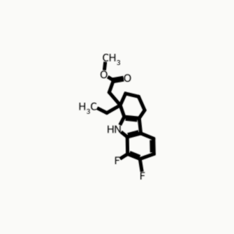 CCC1(CC(=O)OC)CCCc2c1[nH]c1c(F)c(F)ccc21